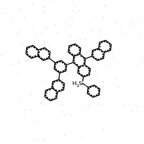 c1ccc([SiH2]c2ccc3c(-c4ccc5ccccc5c4)c4ccccc4c(-c4cc(-c5ccc6ccccc6c5)cc(-c5ccc6ccccc6c5)c4)c3c2)cc1